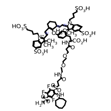 CC1(C)C(/C=C/C2=C(Oc3ccc(C[C@H](NC(=O)CCOCCOCCNC(=O)CCS(=O)(=O)c4c(F)c(F)c(S(N)(=O)=O)c(F)c4NC4CCCCCCC4)C(=O)O)cc3)C(=C/C=C3/N(CCCCS(=O)(=O)O)c4ccc(S(=O)(=O)O)cc4C3(C)C)/CCC2)=[N+](CCCCS(=O)(=O)O)c2ccc(S(=O)(=O)O)cc21